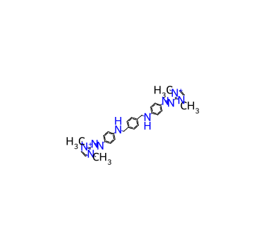 Cn1cc[n+](C)c1/N=N/c1ccc(NCc2ccc(CNc3ccc(/N=N/c4n(C)cc[n+]4C)cc3)cc2)cc1